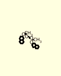 CC(OCCOC(C)Oc1ccc2ccccc2c1)Oc1ccc2ccccc2c1